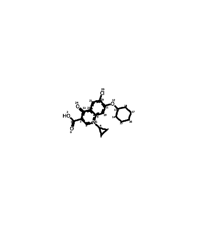 O=C(O)c1cn(C2CC2)c2cc(OC3CCCCC3)c(Cl)cc2c1=O